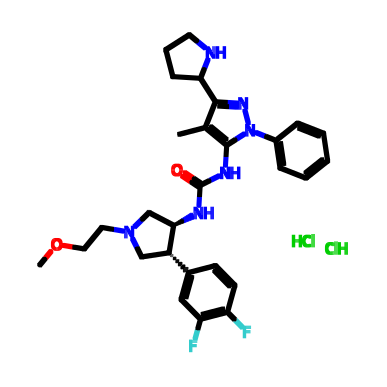 COCCN1C[C@@H](NC(=O)Nc2c(C)c(C3CCCN3)nn2-c2ccccc2)[C@H](c2ccc(F)c(F)c2)C1.Cl.Cl